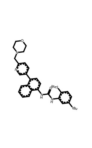 CSc1ccc(C(C)(C)C)cc1NC(=O)Nc1ccc(-c2ccc(CN3CCOCC3)nc2)c2ccccc12